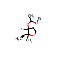 C=CC1(C)OCCC1(OC(C)OCC)C(C)C